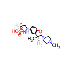 CCC(NS(=O)(=O)O)c1ccc2c(c1)C(C)(C)C(N1CCN(C)CC1)O2